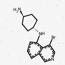 N[C@H]1CC[C@H](Nc2cccc3cncc(Br)c23)CC1